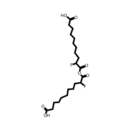 O=C(O)CCCCCCCCC(F)C(=O)OC(=O)C(F)CCCCCCCCC(=O)O